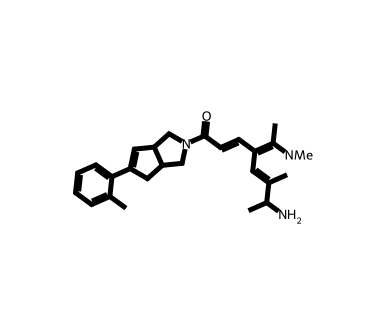 CN/C(C)=C(/C=C/C(=O)N1CC2C=C(c3ccccc3C)CC2C1)\C=C(/C)C(C)N